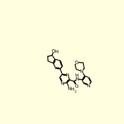 Nc1ncc(-c2ccc3c(c2)CCC3O)nc1C(=O)Nc1cnccc1N1CCOCC1